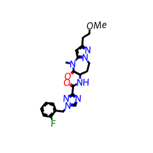 COCCc1cc2n(n1)CCC(NC(=O)c1ncn(Cc3ccccc3F)n1)C(=O)N2C